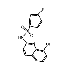 O=S(=O)(Nc1ccc2cccc(O)c2n1)c1ccc(F)cc1